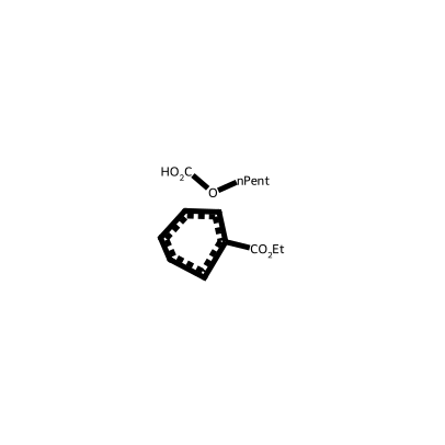 CCCCCOC(=O)O.CCOC(=O)c1ccccc1